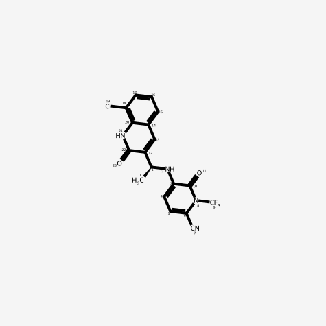 C[C@H](Nc1ccc(C#N)n(C(F)(F)F)c1=O)c1cc2cccc(Cl)c2[nH]c1=O